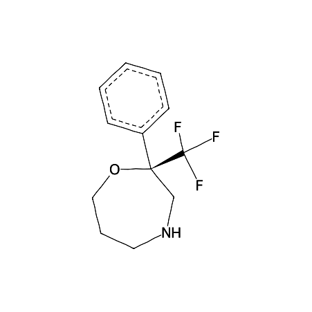 FC(F)(F)[C@@]1(c2ccccc2)CNCCCO1